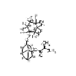 C=C(C)C(=O)OC12CC3CC(CC(OCC4(F)C(F)(F)C(F)(F)C(F)(F)C(F)(F)C4(F)F)(C3)C1)C2